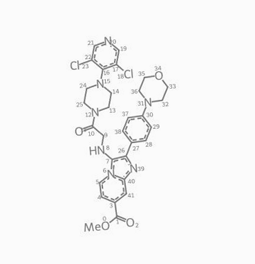 COC(=O)c1ccn2c(NCC(=O)N3CCN(c4c(Cl)cncc4Cl)CC3)c(-c3ccc(N4CCOCC4)cc3)nc2c1